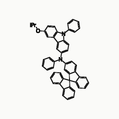 CC(C)Oc1ccc2c(c1)c1cc(N(c3ccccc3)c3ccc4c(c3)C3(c5ccccc5-c5ccccc53)c3ccccc3-4)ccc1n2-c1ccccc1